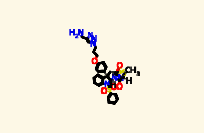 CN1C(=O)[C@@]23C[C@]4(c5ccc(OCCCn6cc(CN)nn6)cc5)c5ccccc5N(S(=O)(=O)c5ccccc5)[C@@H]4N2C(=O)[C@@H]1SS3